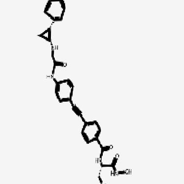 NC[C@H](NC(=O)c1ccc(C#Cc2ccc(NC(=O)CN[C@@H]3C[C@@H]3c3ccccc3)cc2)cc1)C(=O)NO